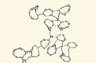 c1ccc(-c2ccc3c(c2)C2(c4ccccc4-3)c3ccccc3-c3c(N(c4ccc(-c5ccc6oc7ccccc7c6c5)cc4)c4cccc5c4-c4ccccc4C54c5ccccc5-c5ccccc54)cccc32)cc1